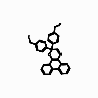 FCc1ccc(C2(c3ccc(CF)cc3)C=Nc3c(c4ccccc4c4ccccc34)O2)cc1